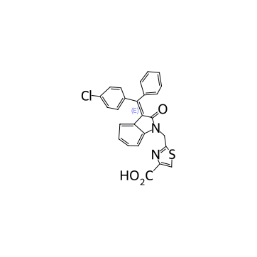 O=C(O)c1csc(CN2C(=O)/C(=C(\c3ccccc3)c3ccc(Cl)cc3)c3ccccc32)n1